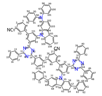 N#Cc1cccc(-c2cc(-c3nc(-c4ccccc4)nc(-c4cccc(-c5cc(C#N)cc(-c6cc(-c7nc(-c8ccccc8)nc(-c8ccccc8)n7)cc(-n7c8cc(-c9ccccc9)ccc8c8ccc(-c9ccccc9)cc87)c6)c5)c4)n3)cc(N3c4cc(N(c5ccccc5)c5ccccc5)ccc4C4C=CC=CC43)c2)c1